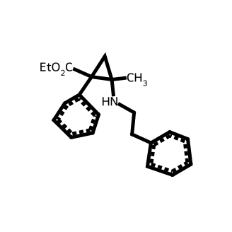 CCOC(=O)C1(c2ccccc2)CC1(C)NCCc1ccccc1